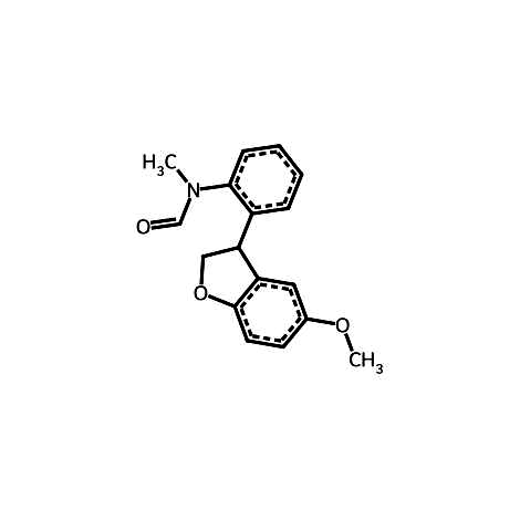 COc1ccc2c(c1)C(c1ccccc1N(C)C=O)CO2